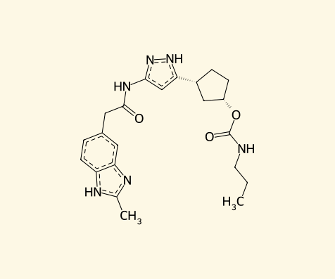 CCCNC(=O)O[C@H]1CC[C@@H](c2cc(NC(=O)Cc3ccc4[nH]c(C)nc4c3)n[nH]2)C1